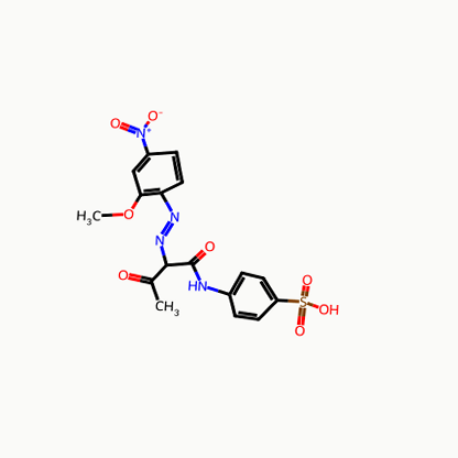 COc1cc([N+](=O)[O-])ccc1N=NC(C(C)=O)C(=O)Nc1ccc(S(=O)(=O)O)cc1